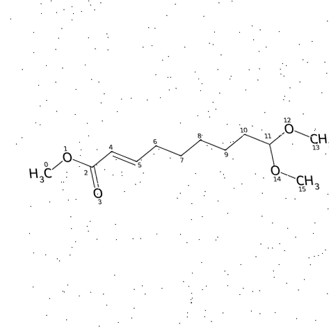 COC(=O)C=CCCCCCC(OC)OC